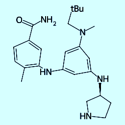 Cc1ccc(C(N)=O)cc1Nc1cc(N[C@H]2CCNC2)cc(N(C)CC(C)(C)C)c1